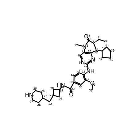 CC[C@@H]1C(=O)N(C)c2cnc(Nc3ccc(C(=O)NC4CC(CC5CCNCC5)C4)cc3OC)nc2N1C1CCCC1